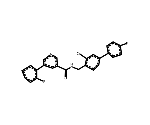 O=C(NCc1ccc(-c2ccc(F)cc2)cc1Cl)c1cncc(-c2ccccc2F)c1